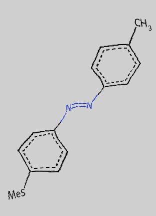 CSc1ccc(/N=N/c2ccc(C)cc2)cc1